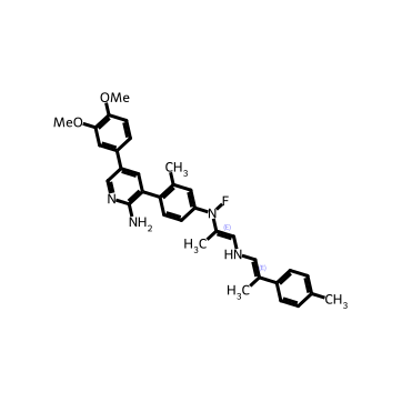 COc1ccc(-c2cnc(N)c(-c3ccc(N(F)/C(C)=C/N/C=C(\C)c4ccc(C)cc4)cc3C)c2)cc1OC